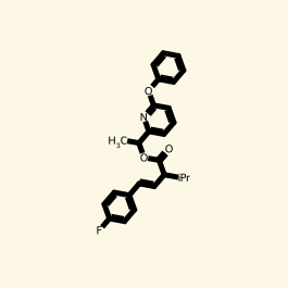 CC(OC(=O)C(C=Cc1ccc(F)cc1)C(C)C)c1cccc(Oc2ccccc2)n1